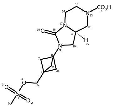 CS(=O)(=O)OCC12CC(N3C[C@@H]4CN(C(=O)O)CCN4C3=O)(C1)C2